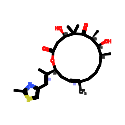 C/C(=C\c1csc(C)n1)[C@@H]1C/C=C(/C(F)(F)F)CCC[C@H](C)[C@H](O)[C@@H](C)C(=O)C(C)(C)[C@@H](O)CC(=O)O1